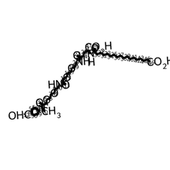 CN(C(=O)COCCOCCNC(=O)COCCOCCNC(=O)CC[C@H](NC(=O)CCCCCCCCCCCCCCCCC(=O)O)C(=O)O)c1ccc(C=O)cc1